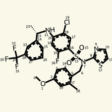 COc1ccc(CN(c2nccs2)S(=O)(=O)c2cc(Cl)c(N[C@@H](C)c3cccc(C(F)(F)F)c3)cc2F)c(C)c1